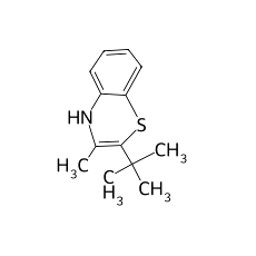 CC1=C(C(C)(C)C)Sc2ccccc2N1